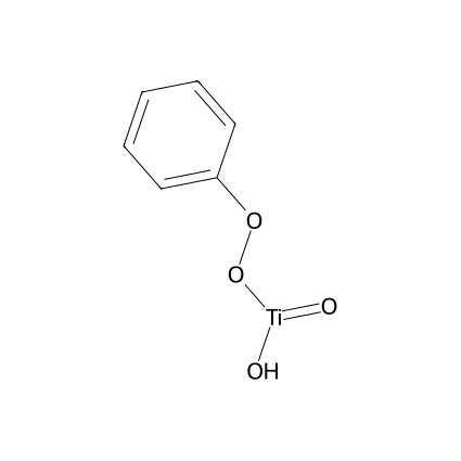 [O]=[Ti]([OH])[O]Oc1ccccc1